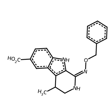 CC1CN/C(=N/OCc2ccccc2)c2[nH]c3ccc(C(=O)O)cc3c21